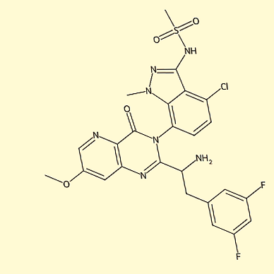 COc1cnc2c(=O)n(-c3ccc(Cl)c4c(NS(C)(=O)=O)nn(C)c34)c(C(N)Cc3cc(F)cc(F)c3)nc2c1